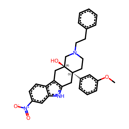 COc1cccc([C@@]23CCN(CCc4ccccc4)C[C@@]2(O)Cc2c([nH]c4cc([N+](=O)[O-])ccc24)C3)c1